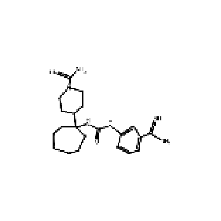 N=C(N)c1cccc(NC(=O)NC2(C3CCN(C(=N)N)CC3)CCCCCC2)c1